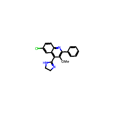 COc1c(-c2ccccc2)nc2ccc(Cl)cc2c1C1=NCCN1